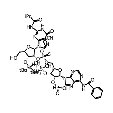 CC(C)C(=O)Nc1nc2c(ncn2[C@@H]2O[C@H](CO)[C@@H](O[Si](C)(C)C(C)(C)C)[C@H]2OP(=S)(OCCC#N)OC[C@H]2O[C@@H](n3cnc4c(NC(=O)c5ccccc5)ncnc43)[C@H](O[PH](=O)O)[C@@H]2O[Si](C)(C)C(C)(C)C)c(=O)[nH]1